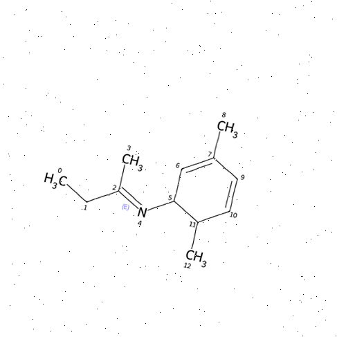 CC/C(C)=N/C1C=C(C)C=CC1C